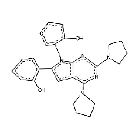 Oc1ccccc1-c1cc2c(N3CCCC3)nc(N3CCCC3)nc2n1-c1ccccc1O